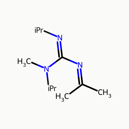 CC(C)=N/C(=N/C(C)C)N(C)C(C)C